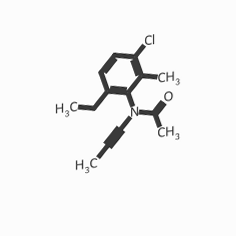 CC#CN(C(C)=O)c1c(CC)ccc(Cl)c1C